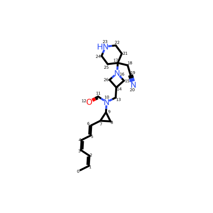 C\C=C/C=C\C=C\C1CC1N(C=O)CC1CN(C2(CC#N)CCNCC2)C1